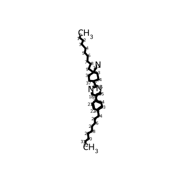 CCCCCCCCCCC1(C#N)CCC(c2ncc(-c3ccc(CCCCCCCCC)cc3)cn2)CC1